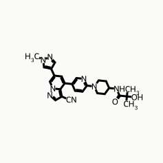 Cn1cc(-c2cc(-c3ccc(N4CCC(NC(=O)C(C)(C)O)CC4)nc3)c3c(C#N)cnn3c2)cn1